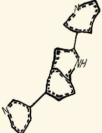 c1cncc(-c2ccc3[nH]c(-c4cccnc4)cc3c2)c1